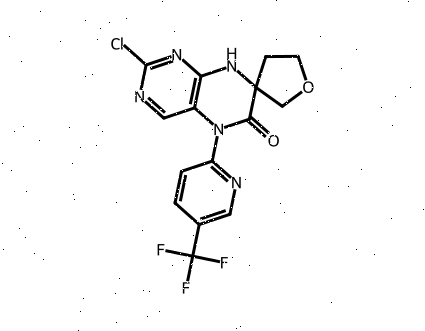 O=C1N(c2ccc(C(F)(F)F)cn2)c2cnc(Cl)nc2NC12CCOC2